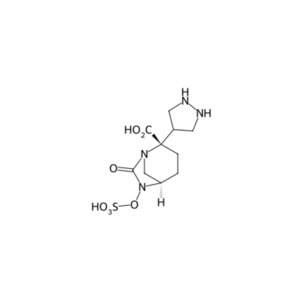 O=C1N(OS(=O)(=O)O)[C@@H]2CC[C@@](C(=O)O)(C3CNNC3)N1C2